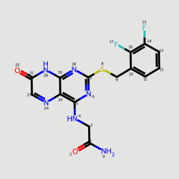 NC(=O)CNc1nc(SCc2cccc(F)c2F)nc2[nH]c(=O)cnc12